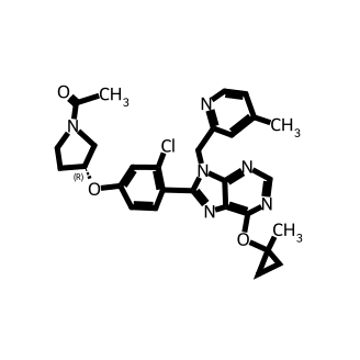 CC(=O)N1CC[C@@H](Oc2ccc(-c3nc4c(OC5(C)CC5)ncnc4n3Cc3cc(C)ccn3)c(Cl)c2)C1